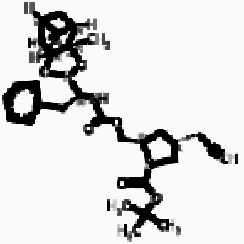 C#CC[C@H]1C[C@H](COC(=O)N[C@@H](Cc2ccccc2)B2O[C@@H]3C[C@@H]4C[C@@H](C4(C)C)[C@]3(C)O2)N(C(=O)OC(C)(C)C)C1